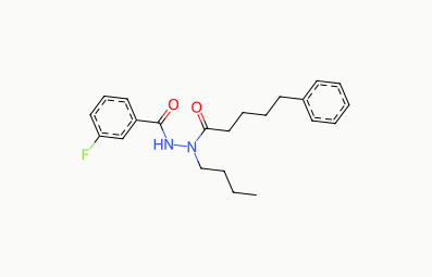 CCCCN(NC(=O)c1cccc(F)c1)C(=O)CCCCc1ccccc1